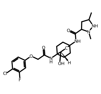 CC1CC(C(=O)NC23CCC(NC(=O)COc4ccc(Cl)c(F)c4)(CC2)[C@@H](O)C3)N(C)N1